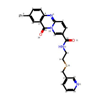 CC(C)c1ccc2nc3ccc(C(=O)NCCSCc4cccnc4)cn3c(=O)c2c1